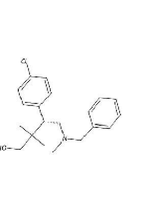 CN(Cc1ccccc1)C[C@@H](c1ccc(Cl)cc1)C(C)(C)CO